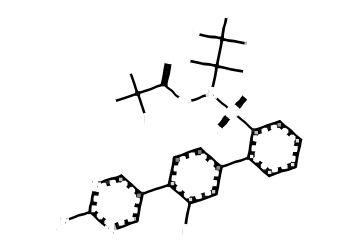 CC(C)(N(OC(=O)C(F)(F)F)S(=O)(=O)c1ccccc1-c1ccc(-c2cnc(N)nc2)c(F)c1)C(F)(F)F